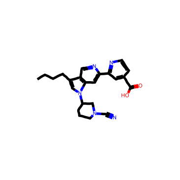 CCCCc1cn(C2CCCN(C#N)C2)c2cc(-c3cc(C(=O)O)ccn3)ncc12